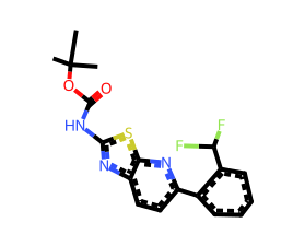 CC(C)(C)OC(=O)Nc1nc2ccc(-c3ccccc3C(F)F)nc2s1